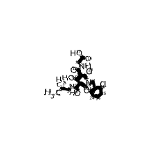 CC(C)CNC(=O)c1c(O)c(C(=O)NCC(=O)O)c(=O)n(Cc2ccccc2Cl)c1O